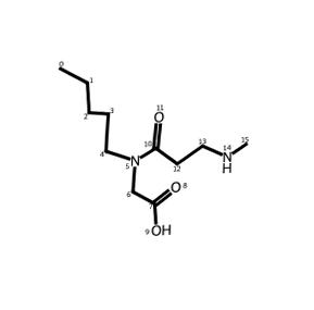 CCCCCN(CC(=O)O)C(=O)CCNC